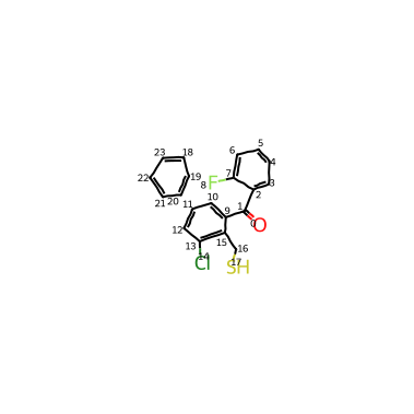 O=C(c1ccccc1F)c1cccc(Cl)c1CS.c1ccccc1